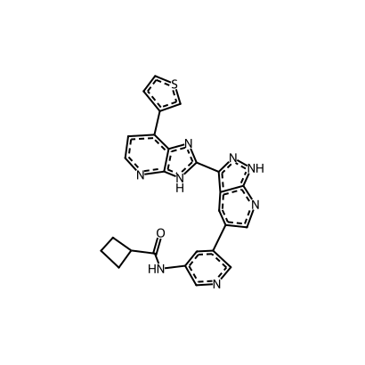 O=C(Nc1cncc(-c2cnc3[nH]nc(-c4nc5c(-c6ccsc6)ccnc5[nH]4)c3c2)c1)C1CCC1